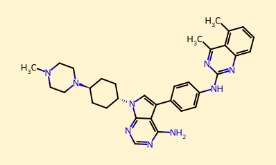 Cc1cccc2nc(Nc3ccc(-c4cn([C@H]5CC[C@H](N6CCN(C)CC6)CC5)c5ncnc(N)c45)cc3)nc(C)c12